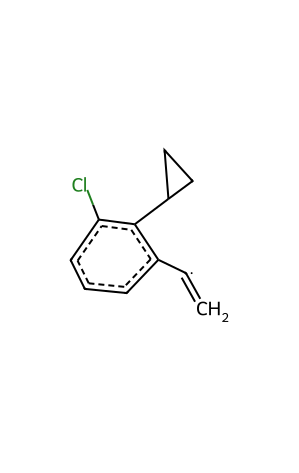 C=[C]c1cccc(Cl)c1C1CC1